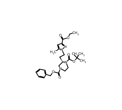 CCOC(=O)c1cc(C)n(CC[C@@H]2CN(C(=O)OCc3ccccc3)CCN2C(=O)OC(C)(C)C)n1